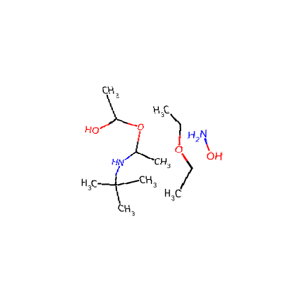 CC(O)OC(C)NC(C)(C)C.CCOCC.NO